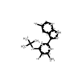 CC(C)(C)Sc1nc(-c2n[nH]c3ncc(F)cc23)nc(N)c1F